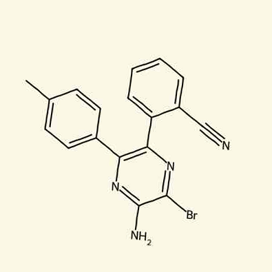 Cc1ccc(-c2nc(N)c(Br)nc2-c2ccccc2C#N)cc1